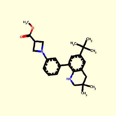 COC(=O)C1CN(c2cccc(-c3cc(C(C)(C)C)cc4c3NCC(C)(C)C4)c2)C1